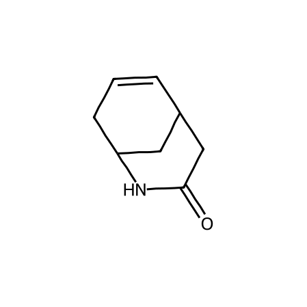 O=C1CC2C=CCC(C2)N1